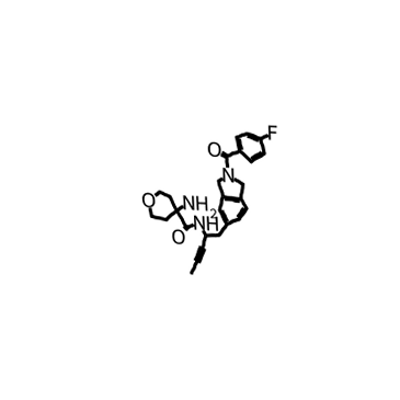 CC#CC(Cc1ccc2c(c1)CN(C(=O)c1ccc(F)cc1)C2)NC(=O)C1(N)CCOCC1